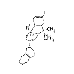 CC1(C)C2CC(I)=CCC2[C@@H]2C=CC(C3CCC4=C(CCC=C4)C3)=CC21